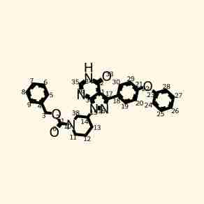 O=C(OCc1ccccc1)N1CCCC(n2nc(-c3ccc(Oc4ccccc4)cc3)c3c(=O)[nH]cnc32)C1